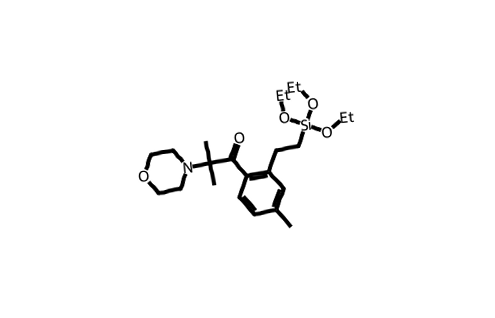 CCO[Si](CCc1cc(C)ccc1C(=O)C(C)(C)N1CCOCC1)(OCC)OCC